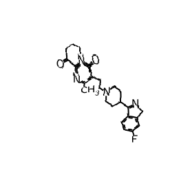 Cc1nc2n(c(=O)c1CCN1CCC(C3=NCc4cc(F)ccc43)CC1)CCCC2=O